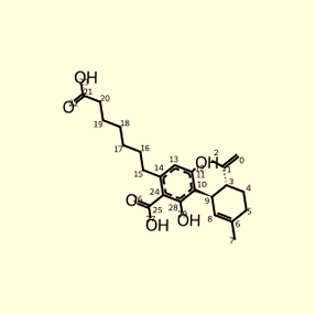 C=C(C)[C@@H]1CCC(C)=C[C@H]1c1c(O)cc(CCCCCCC(=O)O)c(C(=O)O)c1O